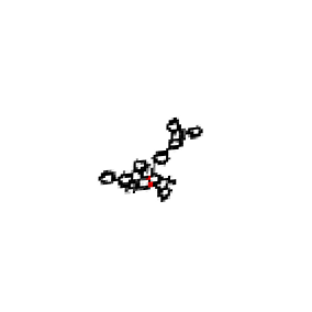 CC1(C)c2ccccc2-c2ccc(N(c3ccc(-c4ccc5c(c4)c4ccccc4n5-c4ccccc4)cc3)c3cccc4c5cc(-c6ccccc6)cc6oc7cccc(c34)c7c65)cc21